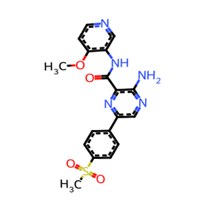 COc1ccncc1NC(=O)c1nc(-c2ccc(S(C)(=O)=O)cc2)cnc1N